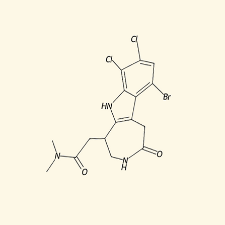 CN(C)C(=O)CC1CNC(=O)Cc2c1[nH]c1c(Cl)c(Cl)cc(Br)c21